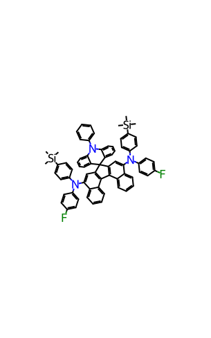 C[Si](C)(C)c1ccc(N(c2ccc(F)cc2)c2cc3c(c4ccccc24)-c2c(cc(N(c4ccc(F)cc4)c4ccc([Si](C)(C)C)cc4)c4ccccc24)C32c3ccccc3N(c3ccccc3)c3ccccc32)cc1